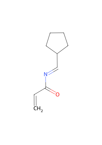 C=CC(=O)/N=C/C1CCCC1